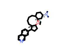 CC[C@@]12C[C@@H](N(C)C)CCC1CCCC[C@]1(C)C(CCC1c1ccc3ccncc3c1)O2